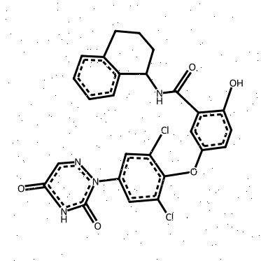 O=C(NC1CCCc2ccccc21)c1cc(Oc2c(Cl)cc(-n3ncc(=O)[nH]c3=O)cc2Cl)ccc1O